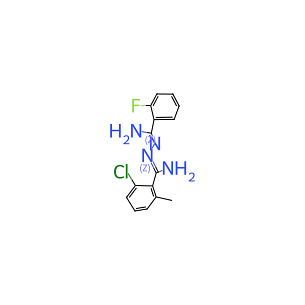 Cc1cccc(Cl)c1/C(N)=N/N=C(\N)c1ccccc1F